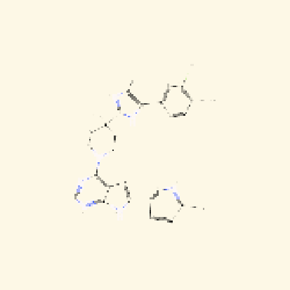 COc1ccc(-c2[nH]c(C3(C)CCN(c4ncnc5[nH]c(-c6ccc(C#N)nc6)cc45)CC3)nc2C)cc1F